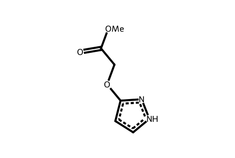 COC(=O)COc1cc[nH]n1